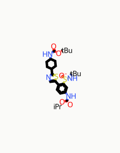 CC(C)OC(=O)Nc1ccc(-c2cnc(C3CCC(NC(=O)OC(C)(C)C)CC3)s2)c([S+]([O-])NC(C)(C)C)c1